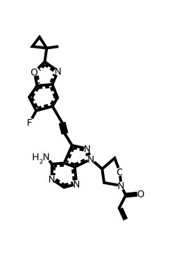 C=CC(=O)N1CCC(n2nc(C#Cc3cc4nc(C5(C)CC5)oc4cc3F)c3c(N)ncnc32)C1